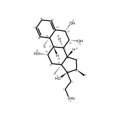 CC(=O)OCC[C@@]1(O)[C@H](C)C[C@H]2[C@@H]3[C@@H](O)[C@@H](O)C4=CCC=C[C@]4(C)[C@H]3[C@@H](O)C[C@@]21C